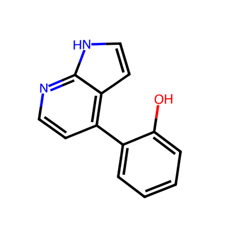 Oc1ccccc1-c1ccnc2[nH]ccc12